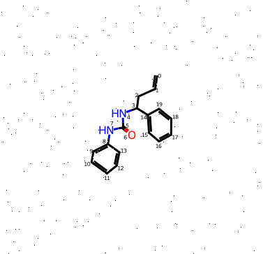 C=CCC(NC(=O)Nc1ccccc1)c1ccccc1